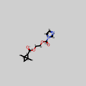 CC12CC1(C)C2C(=O)OCCOC(=O)n1ccnc1